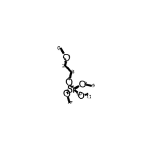 COCCO[Si](OC)(OC)OC